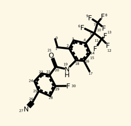 CCc1cc(C(F)(C(F)(F)F)C(F)(F)F)cc(C)c1NC(=O)c1ccc(C#N)cc1F